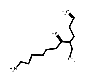 C=CCCC(CC)C(=P)CCCCCCN